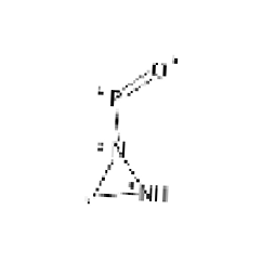 O=PN1CN1